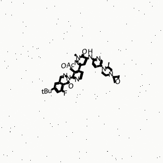 CC(=O)OCc1c(-c2cc(Nc3ccc(N4CCN(C5COC5)C[C@@H]4C)cn3)c(=O)n(C)n2)ccnc1-n1ncc2cc(C(C)(C)C)cc(F)c2c1=O